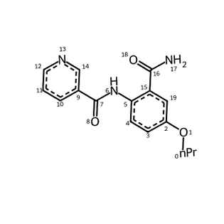 CCCOc1ccc(NC(=O)c2cccnc2)c(C(N)=O)c1